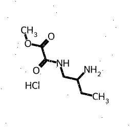 CCC(N)CNC(=O)C(=O)OC.Cl